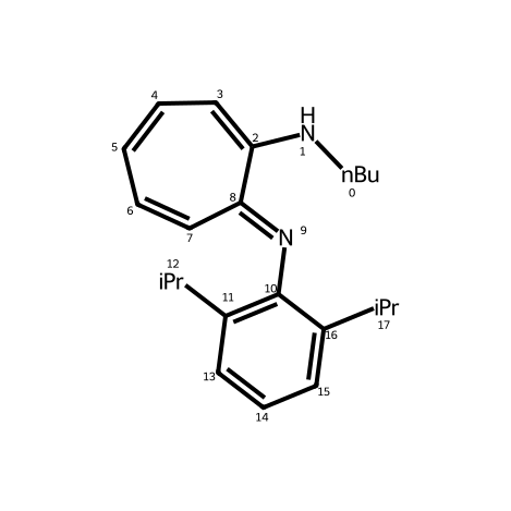 CCCCNc1cccccc1=Nc1c(C(C)C)cccc1C(C)C